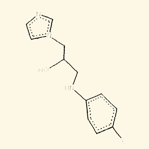 OC(CNc1ccc(Cl)cc1)Cn1ccnc1